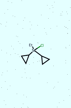 CC[Si](Cl)(C1CC1)C1CC1